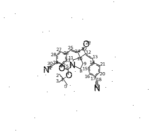 CC(C)(C)OC(=O)N1CCC2(C1)/C(=C\c1ccc(C#N)cc1)C(=O)/C2=C/c1ccc(C#N)cc1